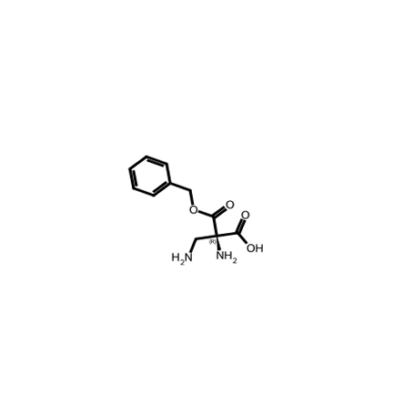 NC[C@@](N)(C(=O)O)C(=O)OCc1ccccc1